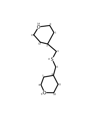 C1CC(CSCC2CCOCC2)CCO1